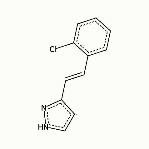 Clc1ccccc1C=Cc1[c]c[nH]n1